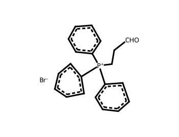 O=CCC[P+](c1ccccc1)(c1ccccc1)c1ccccc1.[Br-]